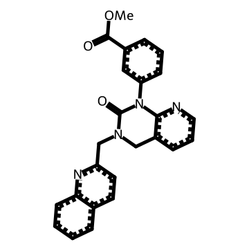 COC(=O)c1cccc(N2C(=O)N(Cc3ccc4ccccc4n3)Cc3cccnc32)c1